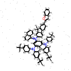 CC(C)(C)C1=CC=C(N2c3ccc(C(C)(C)C)cc3B3c4cc(C(C)(C)C)ccc4N(c4ccc(C(C)(C)C)cc4)c4cc(N(C5=CC=CC6C=CC=CC56)c5ccc6c(c5)C(C)(C)c5cc(-c7cc8ccccc8o7)ccc5-6)cc2c43)CC1